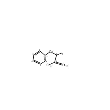 CC(Oc1ccccc1)C(=O)Cl